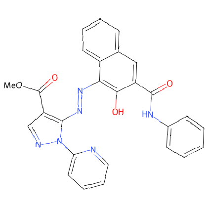 COC(=O)c1cnn(-c2ccccn2)c1/N=N/c1c(O)c(C(=O)Nc2ccccc2)cc2ccccc12